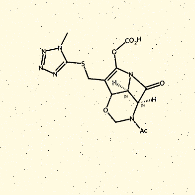 CC(=O)N1COC2C(CSc3nnnn3C)=C(OC(=O)O)N3C(=O)[C@@H]1[C@@H]23